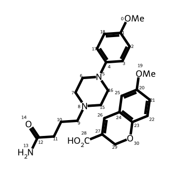 COc1ccc(N2CCN(CCCC(N)=O)CC2)cc1.COc1ccc2c(c1)C=C(C(=O)O)CO2